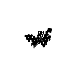 Cc1cc(C)c(-c2cc(C(F)(F)F)c(F)c([C@H](CC(=O)O)NC(=O)[C@H](CC(C)C)n3cc(CCCC4CCC4)c(C(C)(F)F)cc3=O)c2C)c(C)c1